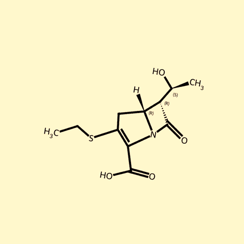 CCSC1=C(C(=O)O)N2C(=O)[C@@H]([C@H](C)O)[C@H]2C1